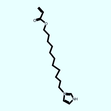 C=CC(=O)OCCCCCCCCCCC[n+]1cc[nH]c1